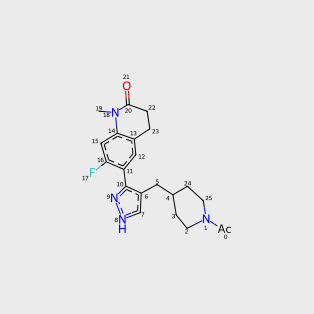 CC(=O)N1CCC(Cc2c[nH]nc2-c2cc3c(cc2F)N(C)C(=O)CC3)CC1